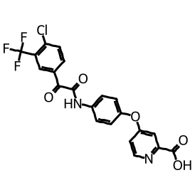 O=C(Nc1ccc(Oc2ccnc(C(=O)O)c2)cc1)C(=O)c1ccc(Cl)c(C(F)(F)F)c1